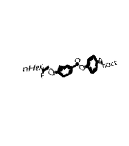 CCCCCCCCOc1ccc(OC(=O)c2ccc(OCC(F)CCCCCC)cc2)cc1